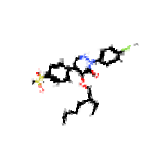 CCCCC(CC)COc1c(-c2ccc(S(C)(=O)=O)cc2)cnn(-c2ccc(F)cc2)c1=O